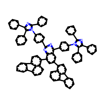 c1ccc(-c2nc(-c3ccccc3)n(-c3ccc(-c4nc(-c5ccc(-n6c(-c7ccccc7)nc(-c7ccccc7)c6-c6ccccc6)cc5)c5cc(-c6ccc7c8c(cccc68)-c6ccccc6-7)cc(-c6ccc7c8c(cccc68)-c6ccccc6-7)c5n4)cc3)c2-c2ccccc2)cc1